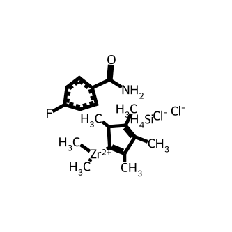 CC1=C(C)C(C)[C]([Zr+2]([CH3])[CH3])=C1C.NC(=O)c1ccc(F)cc1.[Cl-].[Cl-].[SiH4]